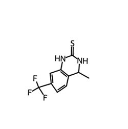 CC1NC(=S)Nc2cc(C(F)(F)F)ccc21